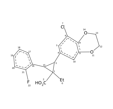 CCC1(C(=O)O)C(c2cc(Cl)c3c(c2)OCCO3)C1c1ccccc1F